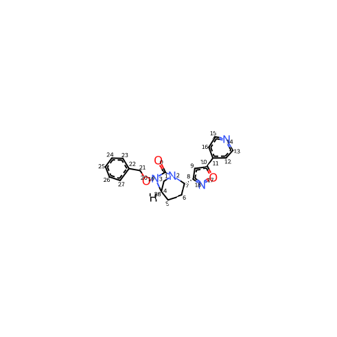 O=C1N2C[C@@H](CC[C@H]2c2cc(-c3ccncc3)on2)N1OCc1ccccc1